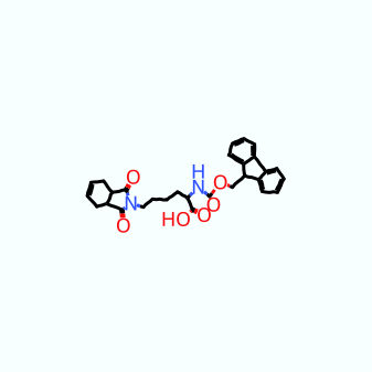 O=C(NC(CCCCN1C(=O)C2CC=CCC2C1=O)C(=O)O)OCC1c2ccccc2-c2ccccc21